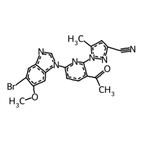 COc1cc2c(cc1Br)ncn2-c1ccc(C(C)=O)c(-n2nc(C#N)cc2C)n1